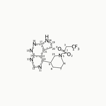 O=S(=O)(CC(F)(F)F)N1CCCC(c2ncnc3nnc4[nH]ccc4c23)C1